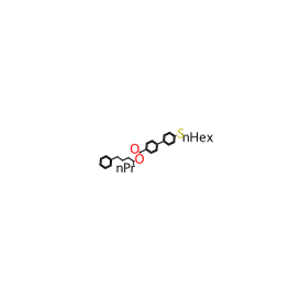 CCCCCCSc1ccc(-c2ccc(C(=O)OC(CCC)CCCc3ccccc3)cc2)cc1